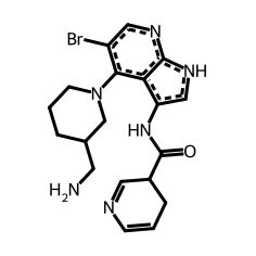 NCC1CCCN(c2c(Br)cnc3[nH]cc(NC(=O)C4C=NC=CC4)c23)C1